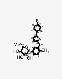 CS[C@H]1O[C@@H](c2ccc(C)c(Cc3ccc(-c4ccc(F)cc4)s3)c2)[C@H](O)[C@@H](O)[C@@H]1O